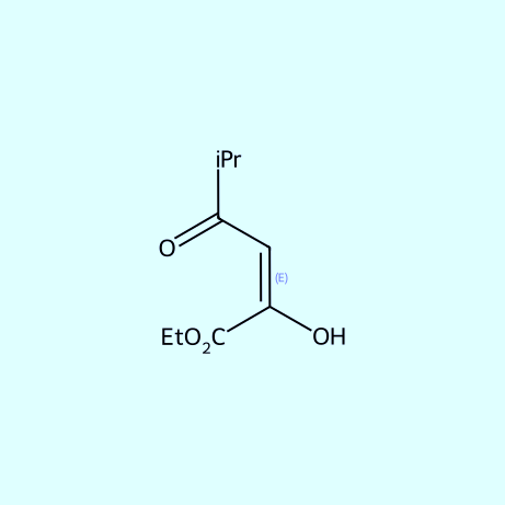 CCOC(=O)/C(O)=C\C(=O)C(C)C